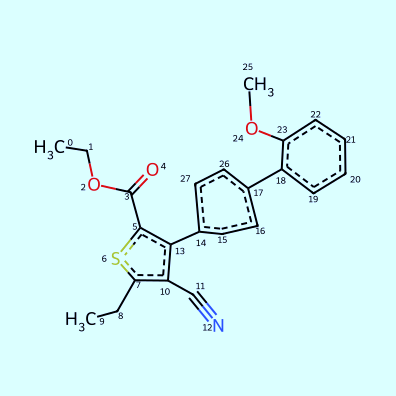 CCOC(=O)c1sc(CC)c(C#N)c1-c1ccc(-c2ccccc2OC)cc1